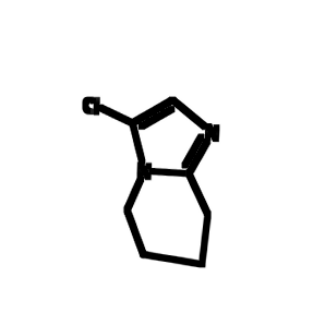 Clc1cnc2n1CCCC2